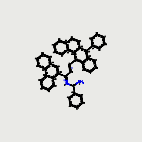 NC(/N=C(\C=C\c1c2ccccc2c(-c2ccccc2)c2ccc3ccccc3c12)c1cc2ccccc2c2ccccc12)c1ccccc1